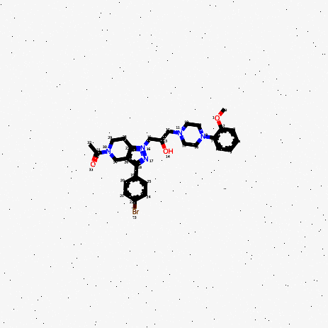 COc1ccccc1N1CCN(CC(O)Cn2nc(-c3ccc(Br)cc3)c3c2CCN(C(C)=O)C3)CC1